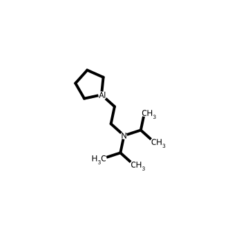 CC(C)N(C[CH2][Al]1[CH2]CC[CH2]1)C(C)C